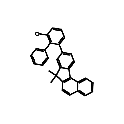 CC1(C)c2cc(-c3cccc(Cl)c3-c3ccccc3)ccc2-c2c1ccc1ccccc21